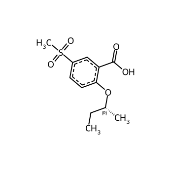 CC[C@@H](C)Oc1ccc(S(C)(=O)=O)cc1C(=O)O